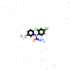 NC(=O)N(c1cccc(C(F)(F)F)c1)c1ccc(Br)cc1F